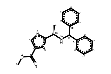 COC(=O)c1cnc([C@@H](C)NC(c2ccccc2)c2ccccc2)s1